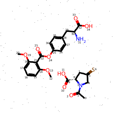 CC(=O)N1CC(=S)C[C@H]1C(=O)O.COc1cccc(OC)c1C(=O)Oc1ccc(C[C@H](N)C(=O)O)cc1